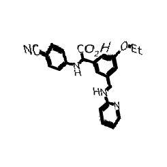 CCOc1cc(CNc2ccccn2)cc(C(Nc2ccc(C#N)cc2)C(=O)O)c1